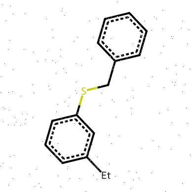 CCc1cccc(SCc2ccccc2)c1